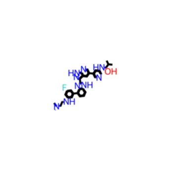 CC(C)C(O)Nc1cncc(-c2cnc3[nH]nc(-c4nc5c(-c6cc(F)cc(NCCN(C)C)c6)cccc5[nH]4)c3c2)c1